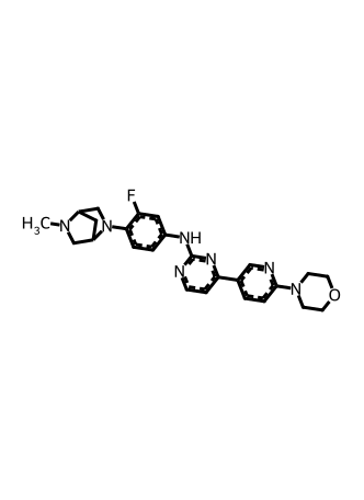 CN1CC2CC1CN2c1ccc(Nc2nccc(-c3ccc(N4CCOCC4)nc3)n2)cc1F